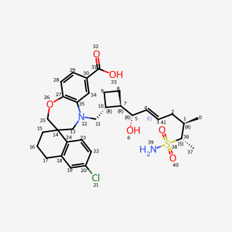 C[C@H](C/C=C/[C@H](O)[C@@H]1CC[C@H]1CN1CC2(CCCc3cc(Cl)ccc32)COc2ccc(C(=O)O)cc21)[C@H](C)S(N)(=O)=O